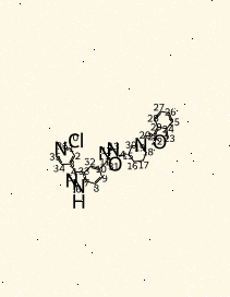 Clc1cc(-c2n[nH]c3ccc(-c4nnc([C@@H]5CCCN(Cc6occ7ccccc67)C5)o4)cc23)ccn1